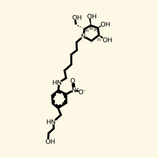 O=[N+]([O-])c1cc(CNCCO)ccc1NCCCCCCN1C[C@H](O)[C@@H](O)[C@H](O)[C@H]1CO